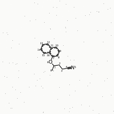 [CH2]C(CCC#N)Oc1cccc2ccccc12